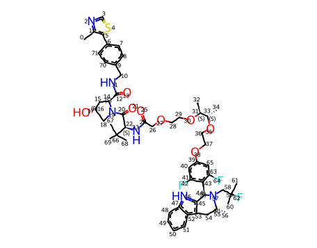 Cc1ncsc1-c1ccc(CNC(=O)[C@@H]2C[C@@H](O)CN2C(=O)[C@@H](NC(=O)COCCO[C@@H](C)[C@H](C)OCCOc2cc(F)c([C@@H]3c4[nH]c5ccccc5c4C[C@@H](C)N3CC(C)(C)F)c(F)c2)C(C)(C)C)cc1